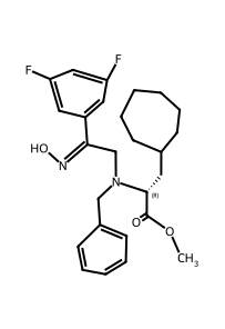 COC(=O)[C@@H](CC1CCCCCC1)N(CC(=NO)c1cc(F)cc(F)c1)Cc1ccccc1